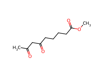 COC(=O)CCCCC(=O)CC(C)=O